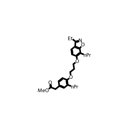 CCCc1cc(CC(=O)OC)ccc1OCCCOc1ccc2c(CC)noc2c1CCC